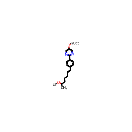 CCCCCCCCOc1cnc(-c2ccc(C=CCCCC(C)OCC)cc2)nc1